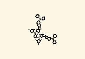 Cc1cc(C)c(N2c3cc4c(cc3B3c5cc6sc7cc8cc(N(c9ccccc9)c9ccccc9)ccc8cc7c6cc5N(c5c(C)cc(C)cc5C)c5cccc2c53)sc2cc3cc(N(c5ccccc5)c5ccccc5)ccc3cc24)c(C)c1